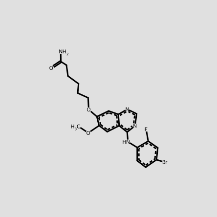 COc1cc2c(Nc3ccc(Br)cc3F)ncnc2cc1OCCCCCC(N)=O